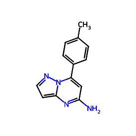 Cc1ccc(-c2cc(N)nc3ccnn23)cc1